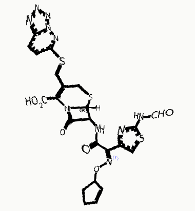 O=CNc1nc(/C(=N/OC2C=CCC2)C(=O)NC2C(=O)N3C(C(=O)O)=C(CSc4ccc5nnnn5n4)CS[C@H]23)cs1